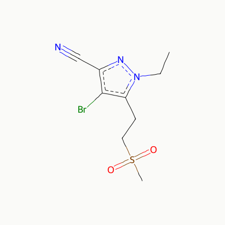 CCn1nc(C#N)c(Br)c1CCS(C)(=O)=O